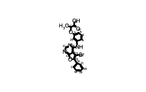 CC(Oc1cccc(Nc2ncnc3oc(-c4ccccc4)c(Br)c23)c1)C(=O)O